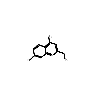 CCc1ccc2c(C)cc(CC(C)CC)nc2c1